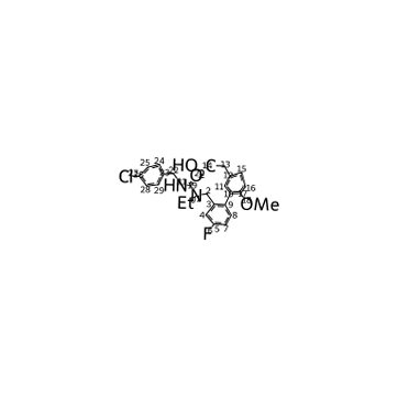 CCN(Cc1cc(F)ccc1-c1cc(CC(=O)O)ccc1OC)C(=O)NCc1ccc(Cl)cc1